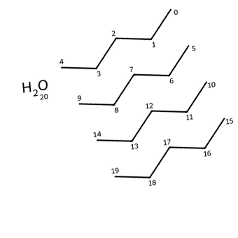 CCCCC.CCCCC.CCCCC.CCCCC.O